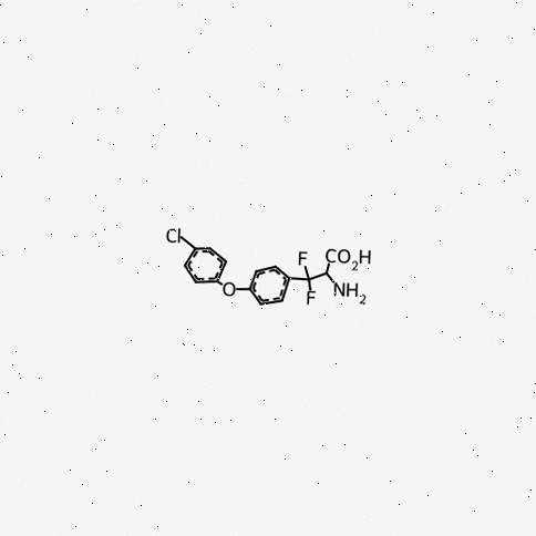 NC(C(=O)O)C(F)(F)c1ccc(Oc2ccc(Cl)cc2)cc1